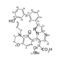 C=CCN1CCOc2ccc(-c3c(C(OC(C)(C)C)C(=O)O)c(C)nc4cc(-c5cccc(-c6cccc(O)c6)c5)nn34)c(Cl)c21